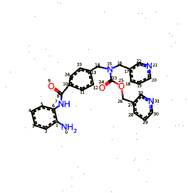 Nc1ccccc1NC(=O)c1ccc(CN(Cc2cccnc2)C(=O)OCc2cccnc2)cc1